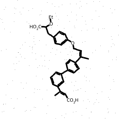 CCOC(Cc1ccc(OCC=C(C)c2ccc(-c3cccc(C(C)=CC(=O)O)c3)cc2)cc1)C(=O)O